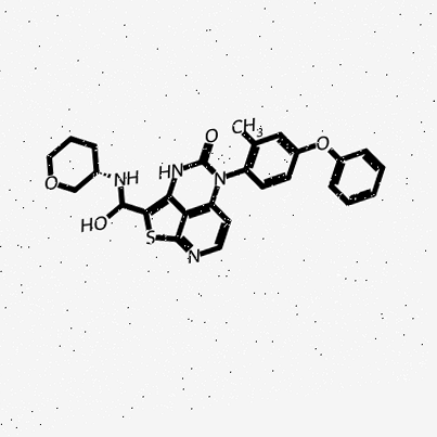 Cc1cc(Oc2ccccc2)ccc1N1C(=O)Nc2c(C(O)N[C@H]3CCCOC3)sc3nccc1c23